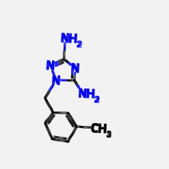 Cc1cccc(Cn2nc(N)nc2N)c1